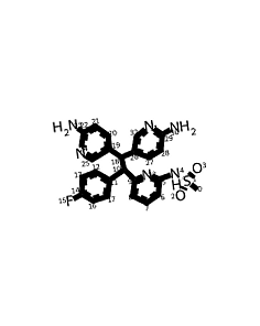 CS(=O)(=O)Nc1cccc(C(c2ccc(F)cc2)C(c2ccc(N)nc2)c2ccc(N)nc2)n1